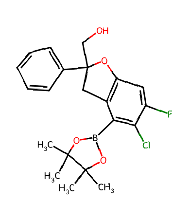 CC1(C)OB(c2c(Cl)c(F)cc3c2CC(CO)(c2ccccc2)O3)OC1(C)C